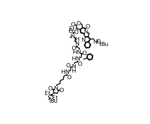 CCC(C)SC(CC)(CC)C1CC(=O)N(CCCCCC(=O)NCC(=O)NCC(=O)N[C@@H](Cc2ccccc2)C(=O)NCC(=O)NCCN(C)C(=O)O[C@@]2(CC)C(=O)OCc3c2cc2n(c3=O)Cc3c-2nc2ccccc2c3/C=N/OC(C)(C)C)C1=O